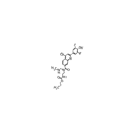 CCCOC(=O)NCCN(CNC)C(=O)c1ccc2c(Cl)cc(-c3cc(F)c(O)c(F)c3)nc2c1